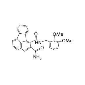 COc1cccc(CNC(=O)c2c(C(N)=O)cc3cccc4c3c2-c2ccccc2-4)c1OC